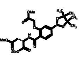 COC(=O)COc1cc(B2OC(C)(C)C(C)(C)O2)ccc1C(=O)N[C@@H](CC(=O)OC)C(=O)OC